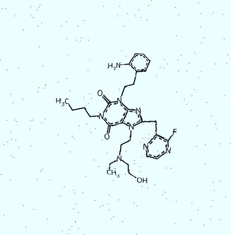 CCCCn1c(=O)c2c(nc(Cc3nccnc3F)n2CCN(CC)CCO)n(CCc2ccccc2N)c1=O